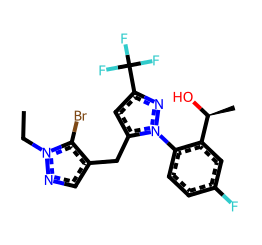 CCn1ncc(Cc2cc(C(F)(F)F)nn2-c2ccc(F)cc2[C@H](C)O)c1Br